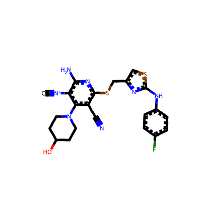 [C-]#[N+]c1c(N)nc(SCc2csc(Nc3ccc(F)cc3)n2)c(C#N)c1N1CCC(O)CC1